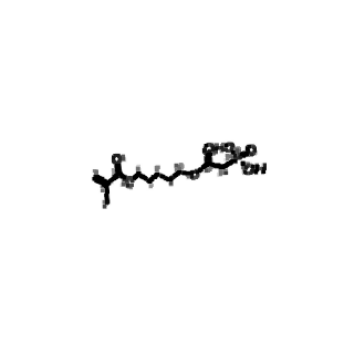 C=C(C)C(=O)OCCCCCOC(=O)CP(=O)(O)O